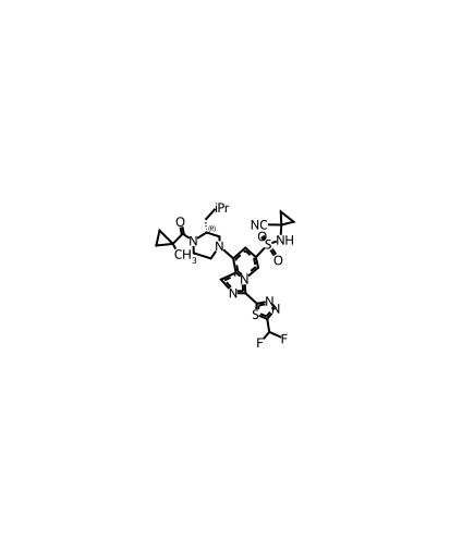 CC(C)C[C@@H]1CN(c2cc(S(=O)(=O)NC3(C#N)CC3)cn3c(-c4nnc(C(F)F)s4)ncc23)CCN1C(=O)C1(C)CC1